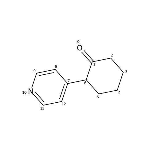 O=C1CCCCC1c1ccncc1